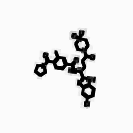 Cc1cc(C(=O)N[C@@H](CCC(=O)N2CCS(=O)(=O)CC2)c2nc3cc(Cl)ccc3[nH]2)ccc1C(=O)N1CCCC1